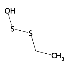 CCSSO